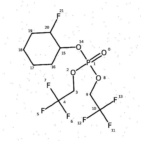 O=P(OCC(F)(F)F)(OCC(F)(F)F)OC1CCCCC1F